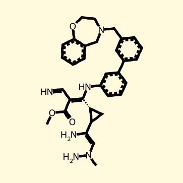 COC(=O)/C(C=N)=C(/Nc1cccc(-c2cccc(CN3CCOc4ccccc4C3)c2)c1)[C@@H]1CC1/C(N)=C/N(C)N